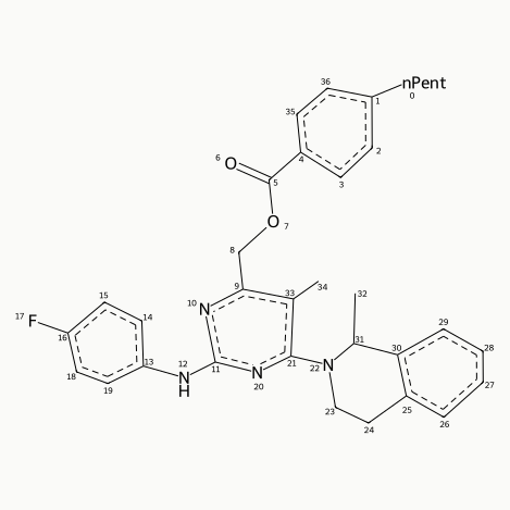 CCCCCc1ccc(C(=O)OCc2nc(Nc3ccc(F)cc3)nc(N3CCc4ccccc4C3C)c2C)cc1